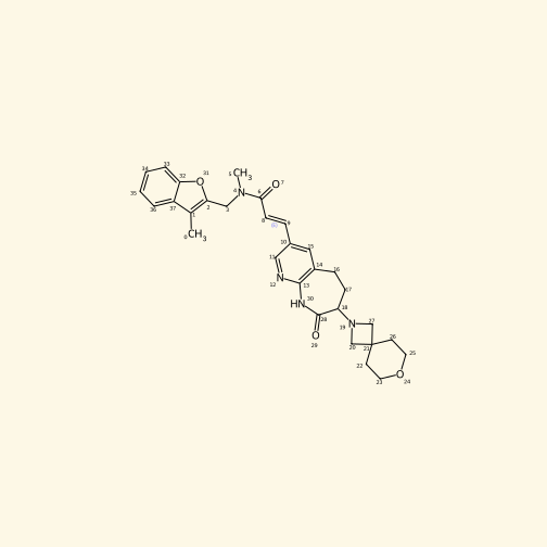 Cc1c(CN(C)C(=O)/C=C/c2cnc3c(c2)CCC(N2CC4(CCOCC4)C2)C(=O)N3)oc2ccccc12